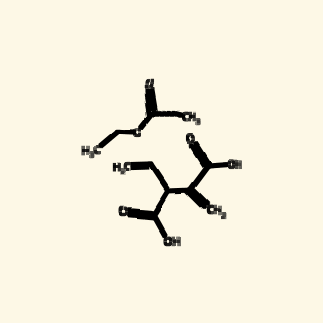 C=CC(C(=C)C(=O)O)C(=O)O.CCOC(C)=O